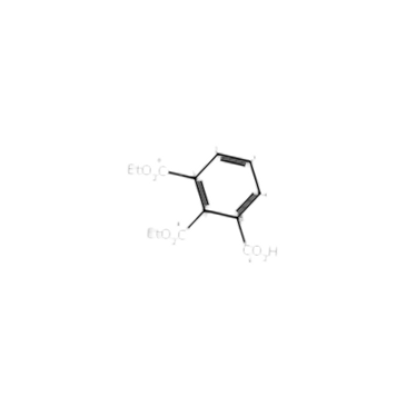 CCOC(=O)c1cccc(C(=O)O)c1C(=O)OCC